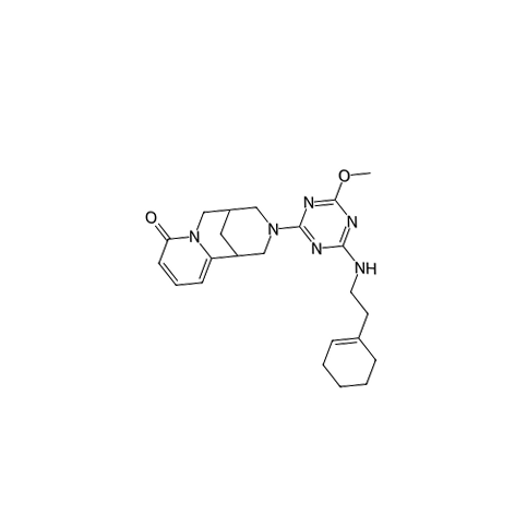 COc1nc(NCCC2=CCCCC2)nc(N2CC3CC(C2)c2cccc(=O)n2C3)n1